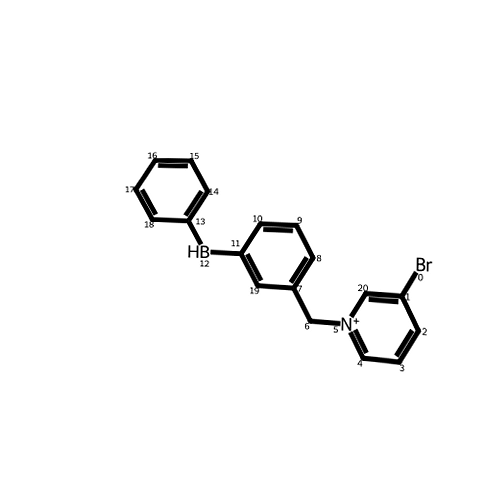 Brc1ccc[n+](Cc2cccc(Bc3ccccc3)c2)c1